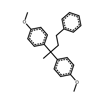 COc1ccc(C(C)(CCc2ccccc2)c2ccc(OC)cc2)cc1